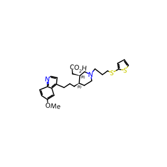 COc1ccc2nccc(CCC[C@@H]3CCN(CCCSc4cccs4)C[C@@H]3CC(=O)O)c2c1